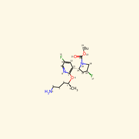 C[C@@H](CCCN)Oc1ncc(F)cc1[C@H]1C[C@H](F)CN1C(=O)OC(C)(C)C